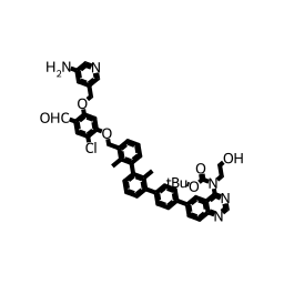 Cc1c(COc2cc(OCc3cncc(N)c3)c(C=O)cc2Cl)cccc1-c1cccc(-c2ccc(-c3ccc4ncnc(N(CCO)C(=O)OC(C)(C)C)c4c3)cc2)c1C